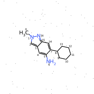 Cn1cc2cc(N)c(C3CCCCC3)cc2n1